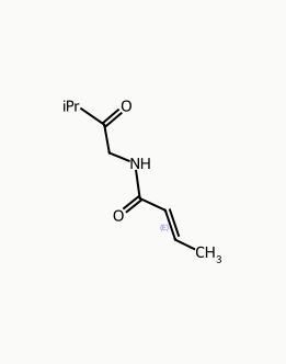 C/C=C/C(=O)NCC(=O)C(C)C